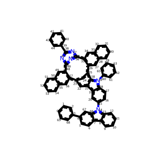 c1ccc(-c2ccc3c4ccccc4n(-c4ccc5c(c4)c4cc6cc(c7cc8ccccc8cc7c7nc(-c8ccccc8)nc(n7)c7cc8ccccc8cc67)c4n5-c4ccccc4)c3c2)cc1